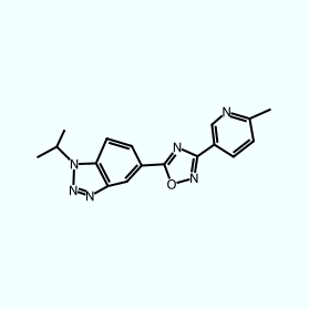 Cc1ccc(-c2noc(-c3ccc4c(c3)nnn4C(C)C)n2)cn1